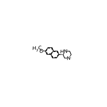 COc1ccc2cc([C@@H]3C[N]CCN3)ccc2c1